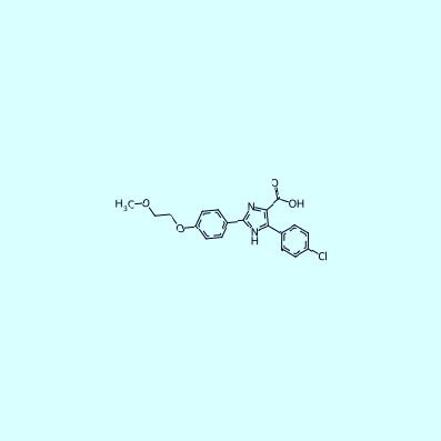 COCCOc1ccc(-c2nc(C(=O)O)c(-c3ccc(Cl)cc3)[nH]2)cc1